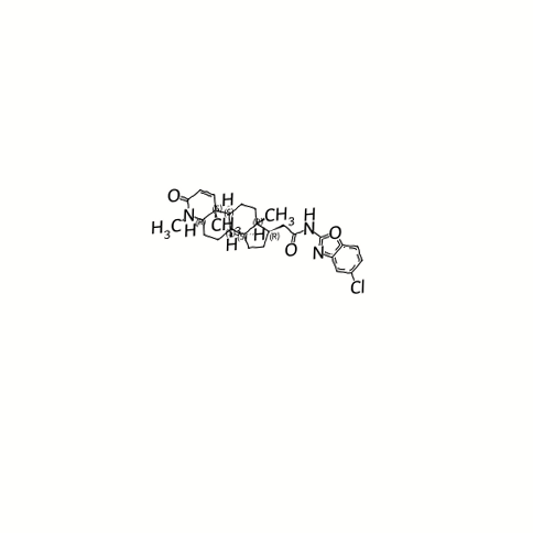 CN1C(=O)C=C[C@]2(C)[C@H]3CC[C@]4(C)[C@@H](CC(=O)Nc5nc6cc(Cl)ccc6o5)CC[C@H]4[C@@H]3CC[C@@H]12